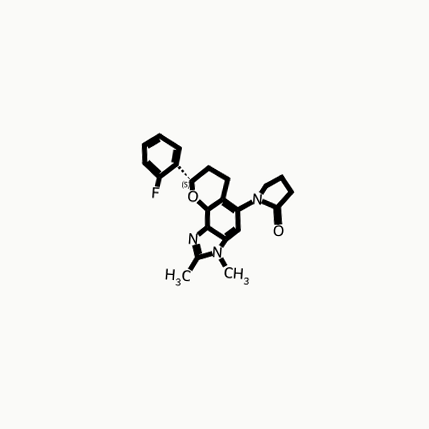 CC1=NC2C(=CC(N3CCCC3=O)=C3CC[C@@H](c4ccccc4F)OC32)N1C